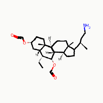 CC[C@H]1[C@@H](OC=O)[C@@H]2[C@H](CC[C@]3(C)C([C@H](C)CCN)CC[C@@H]23)[C@@]2(C)CC[C@@H](OC=O)C[C@@H]12